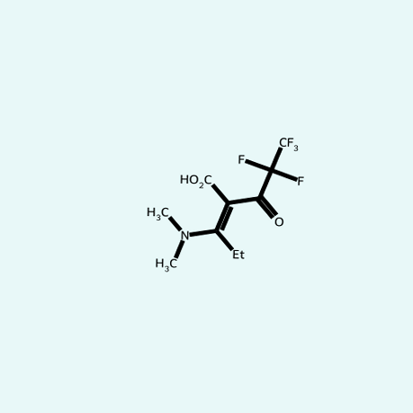 CCC(=C(C(=O)O)C(=O)C(F)(F)C(F)(F)F)N(C)C